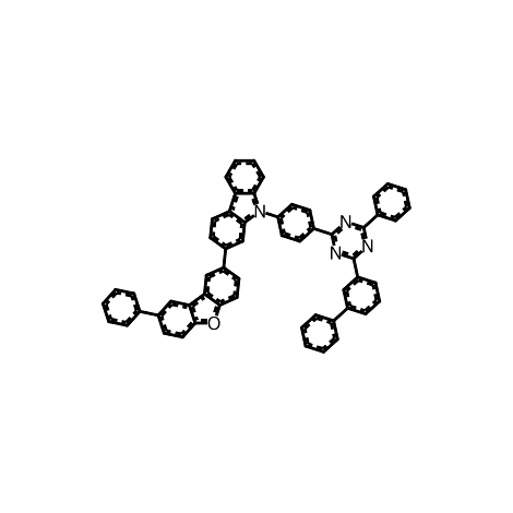 c1ccc(-c2cccc(-c3nc(-c4ccccc4)nc(-c4ccc(-n5c6ccccc6c6ccc(-c7ccc8oc9ccc(-c%10ccccc%10)cc9c8c7)cc65)cc4)n3)c2)cc1